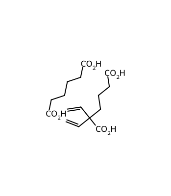 C=CC(C=C)(CCCC(=O)O)C(=O)O.O=C(O)CCCCC(=O)O